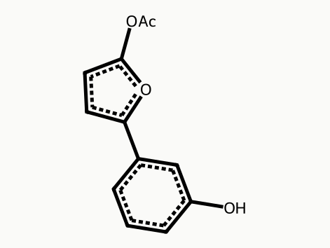 CC(=O)Oc1ccc(-c2cccc(O)c2)o1